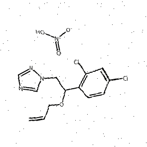 C=CCOC(Cn1cncn1)c1ccc(Cl)cc1Cl.O=[N+]([O-])O